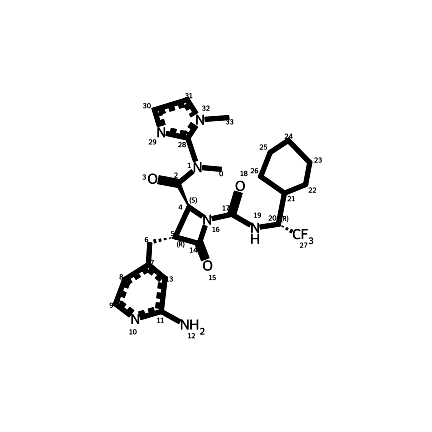 CN(C(=O)[C@@H]1[C@@H](Cc2ccnc(N)c2)C(=O)N1C(=O)N[C@H](C1CCCCC1)C(F)(F)F)c1nccn1C